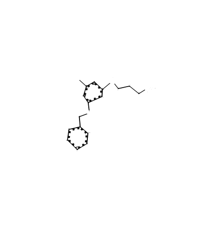 CCc1cc(OCCCOC)cc(OCc2ccccc2)c1